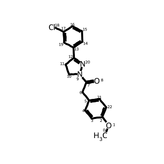 COc1ccc(CC(=O)N2CCC(c3cccc(Cl)c3)=N2)cc1